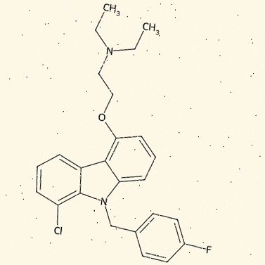 CCN(CC)CCOc1cccc2c1c1cccc(Cl)c1n2Cc1ccc(F)cc1